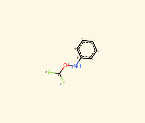 FC(F)ONc1ccccc1